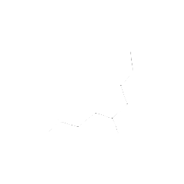 CSCCC(C)CCSC